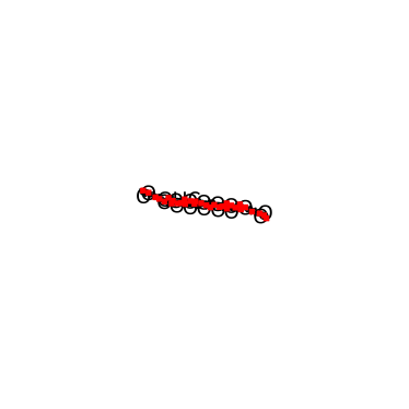 C=CC(=O)OCCCCCCOc1ccc(OC(=O)[C@H]2CC[C@H](OC(=O)c3ccc(OC(=O)[C@H]4CC[C@H](OC(=O)[C@H]5CC[C@H](OC(=O)c6ccc(OCCCCCCOC(=O)C=C)cc6)CC5)CC4)cc3C=O)CC2)cc1